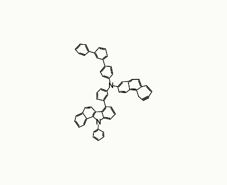 C1#CCc2c(ccc3cc(N(c4ccc(-c5cccc(-c6ccccc6)c5)cc4)c4cccc(-c5cccc6c5c5ccc7ccccc7c5n6-c5ccccc5)c4)ccc23)C=C1